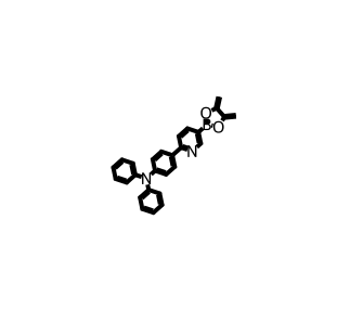 C=C1OB(c2ccc(-c3ccc(N(c4ccccc4)c4ccccc4)cc3)nc2)OC1=C